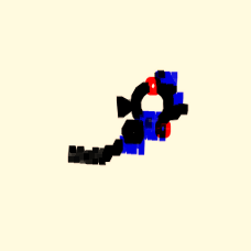 CNCCCCNc1ccc2c(c1)N/C1=N\C(=O)c3cc(C)nc(c3)-c3cnn(C)c3OCCC[C@@H](C3CC3)CN12